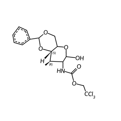 C[C@@H]1C(NC(=O)OCC(Cl)(Cl)Cl)C(O)OC2COC(c3ccccc3)O[C@H]21